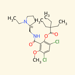 CCN1CCC[C@H]1CNC(=O)c1c(OC)c(Cl)cc(Cl)c1OC(=O)C(CC)(CC)CC